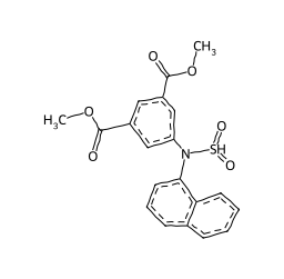 COC(=O)c1cc(C(=O)OC)cc(N(c2cccc3ccccc23)[SH](=O)=O)c1